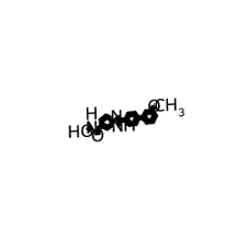 COc1cccc(-c2ccc(-c3nc4ccc(C(=O)NO)cc4[nH]3)cc2)c1